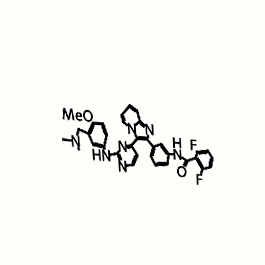 COc1ccc(Nc2nccc(-c3c(-c4cccc(NC(=O)c5c(F)cccc5F)c4)nc4ccccn34)n2)cc1CN(C)C